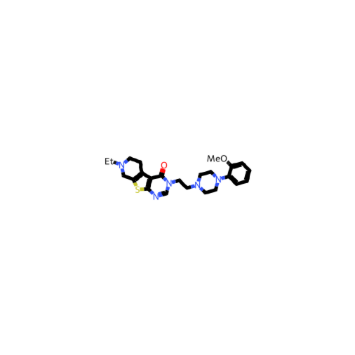 CCN1CCc2c(sc3ncn(CCN4CCN(c5ccccc5OC)CC4)c(=O)c23)C1